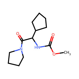 COC(=O)NC(C(=O)N1CCCC1)C1CCCC1